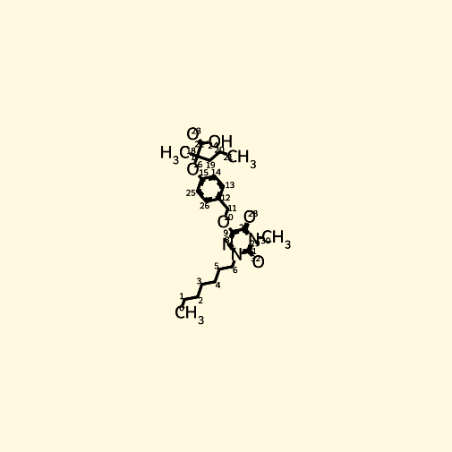 CCCCCCCn1nc(OCc2ccc(OC(C)(CCC)C(=O)O)cc2)c(=O)n(C)c1=O